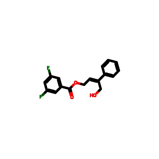 O=C(OCC=C(CO)c1ccccc1)c1cc(F)cc(F)c1